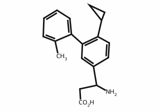 Cc1ccccc1-c1cc(C(N)CC(=O)O)ccc1C1CC1